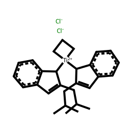 CC(C)CC1=Cc2ccccc2[CH]1[Ti+2]1([CH]2C(CC(C)C)=Cc3ccccc32)[CH2]C[CH2]1.[Cl-].[Cl-]